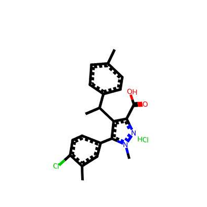 Cc1ccc(C(C)c2c(C(=O)O)nn(C)c2-c2ccc(Cl)c(C)c2)cc1.Cl